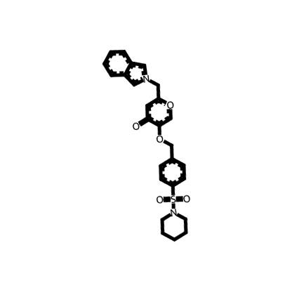 O=c1cc(Cn2cc3ccccc3c2)occ1OCc1ccc(S(=O)(=O)N2CCCCC2)cc1